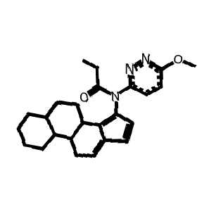 CCC(=O)N(C1=C2C(=CCC3C2CCC2CCCCC23)C=C1)c1ccc(OC)nn1